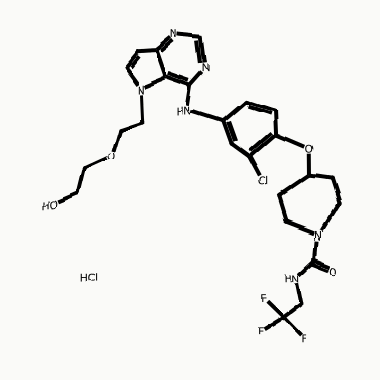 Cl.O=C(NCC(F)(F)F)N1CCC(Oc2ccc(Nc3ncnc4ccn(CCOCCO)c34)cc2Cl)CC1